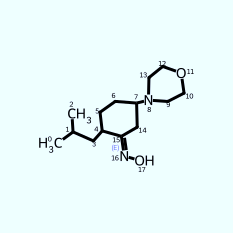 CC(C)CC1CCC(N2CCOCC2)C/C1=N\O